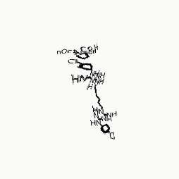 CCCCCCCCN1CCCC1(O)C(=O)O.N=C(NCCCCCCNC(=N)NC(=N)Nc1ccc(Cl)cc1)NC(=N)Nc1ccc(Cl)cc1